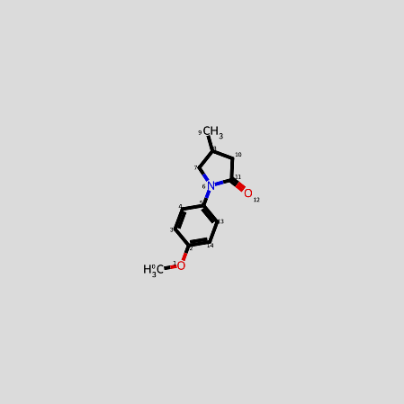 COc1ccc(N2CC(C)CC2=O)cc1